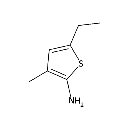 CCc1cc(C)c(N)s1